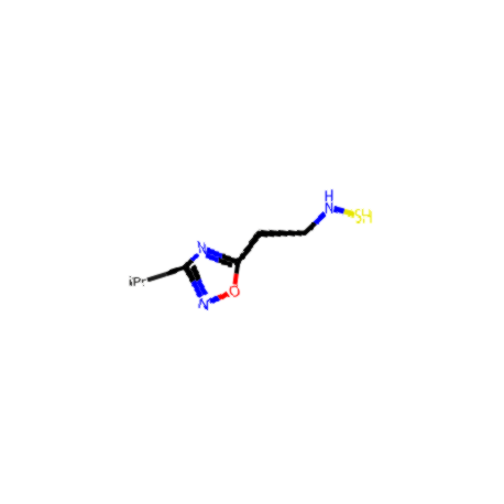 CC(C)c1noc(CCNS)n1